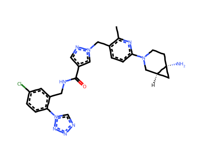 Cc1nc(N2CC[C@@]3(N)C[C@H]3C2)ccc1Cn1cc(C(=O)NCc2cc(Cl)ccc2-n2cnnn2)cn1